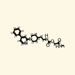 CNC(=O)COC(=O)NCCC1CCN(c2cc(-c3ccccc3)ccn2)CC1